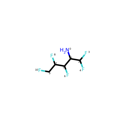 NC(C(F)F)C(F)C(F)CF